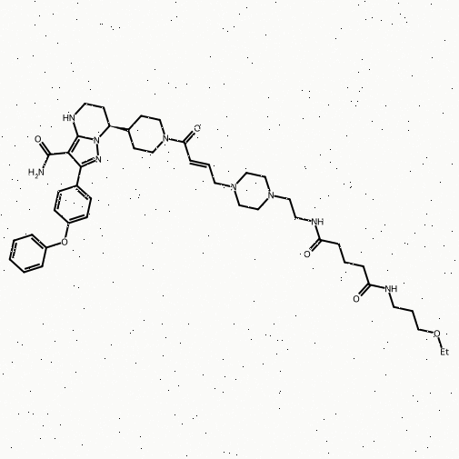 CCOCCCNC(=O)CCCC(=O)NCCN1CCN(C/C=C/C(=O)N2CCC([C@@H]3CCNc4c(C(N)=O)c(-c5ccc(Oc6ccccc6)cc5)nn43)CC2)CC1